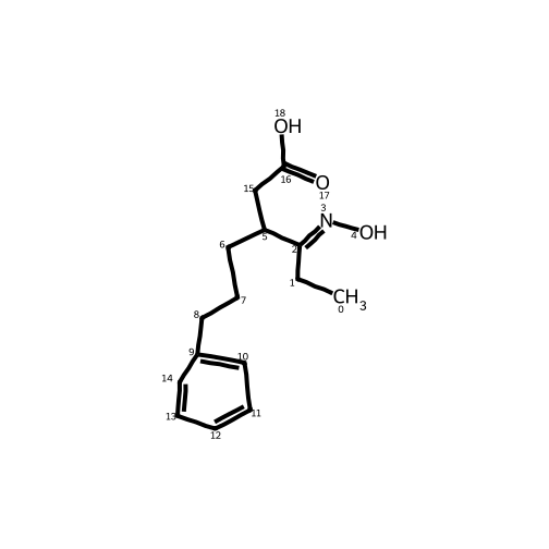 CC/C(=N\O)C(CCCc1ccccc1)CC(=O)O